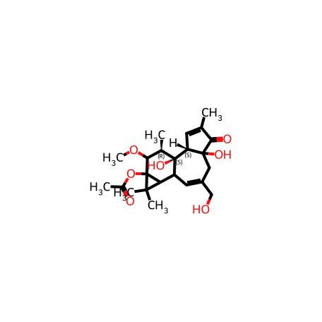 COC1[C@@H](C)[C@@]2(O)C(C=C(CO)CC3(O)C(=O)C(C)=C[C@H]32)C2C(C)(C)C12OC(C)=O